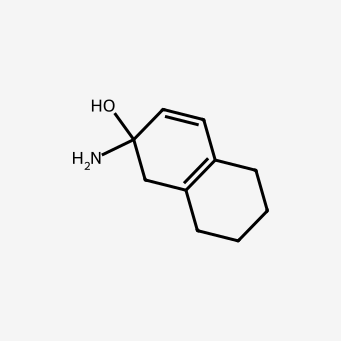 NC1(O)C=CC2=C(CCCC2)C1